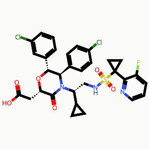 O=C(O)C[C@@H]1O[C@H](c2cccc(Cl)c2)[C@@H](c2ccc(Cl)cc2)N([C@H](CNS(=O)(=O)C2(c3ncccc3F)CC2)C2CC2)C1=O